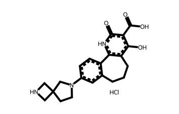 Cl.O=C(O)c1c(O)c2c([nH]c1=O)-c1ccc(N3CCC4(CNC4)C3)cc1CCC2